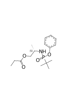 CCC(=O)OC[C@H](C)NP(=O)(Oc1ccccc1)C(C)(C)C